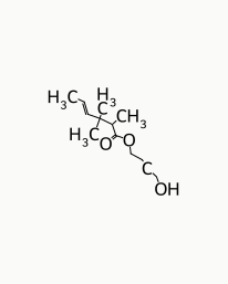 CC=CC(C)(C)C(C)C(=O)OCCCCO